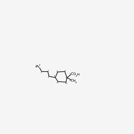 CC(C)CCCC1CCC(C)(C(=O)O)CC1